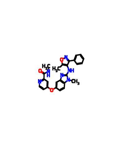 CNC(=O)c1cc(Oc2ccc3c(c2)nc(Nc2c(-c4ccccc4)noc2C)n3C)ccn1